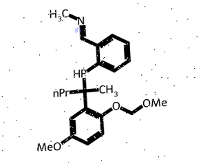 CCCC(C)(Pc1ccccc1/C=N/C)c1cc(OC)ccc1OCOC